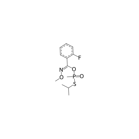 CON=C(OP(C)(=O)SC(C)C)c1ccccc1F